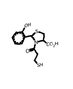 O=C(O)C1CSC(c2ccccc2O)N1C(=O)CCS